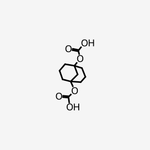 O=C(O)OC12CCCC(OC(=O)O)(CCC1)C2